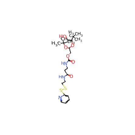 CC(C)(C)OC(COC(=O)NCCC(=O)NCCSSc1ccccn1)OC(CO)C(C)(C)C